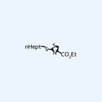 CCCCCCCCSc1nc(C(=O)OCC)cs1